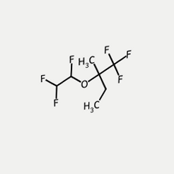 CCC(C)(OC(F)C(F)F)C(F)(F)F